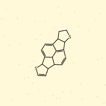 C1=CC2C(S1)C1=CC=C3C4=C(C=CC2C14)C1SCCC31